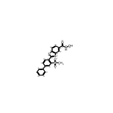 CS(=O)(=O)c1cc(-c2ccccc2)ccc1-c1nc2cc(C(=O)NO)ccc2o1